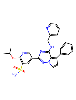 CC(C)Oc1ncc(-c2nc(NCc3ccccn3)c3c(-c4ccccc4)ccn3n2)cc1S(N)(=O)=O